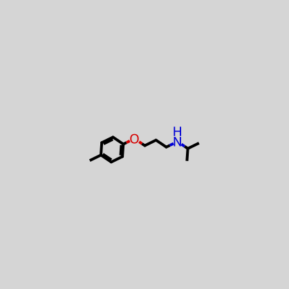 Cc1ccc(OCCCNC(C)C)cc1